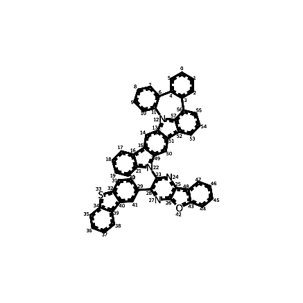 c1ccc2c(c1)-c1ccccc1-n1c3cc4c5ccccc5n(-c5nc6c(nc5-c5ccc7sc8ccccc8c7c5)oc5ccccc56)c4cc3c3cccc-2c31